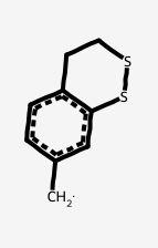 [CH2]c1ccc2c(c1)SSCC2